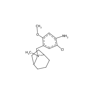 COc1cc(N)c(Cl)cc1C[N+]1(C)[C]2CCCC1CC2